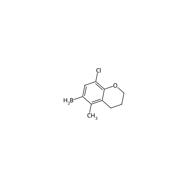 Bc1cc(Cl)c2c(c1C)CCCO2